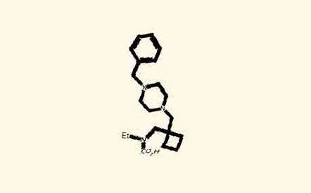 CCN(CC1(CN2CCN(Cc3ccccc3)CC2)CCC1)C(=O)O